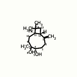 C=C1CC[C@@H](O)[C@@](C)(O)CC[C@@H]2[C@@H]1CC2(C)C